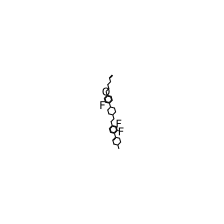 C=CCCCOc1ccc(C2CCC(CCc3ccc(C4=CCC(C)CC4)c(F)c3F)CC2)c(F)c1